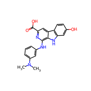 CN(C)c1cccc(Nc2nc(C(=O)O)cc3c2[nH]c2cc(O)ccc23)c1